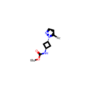 CC(=O)c1ccnn1[C@H]1C[C@H](NC(=O)OC(C)(C)C)C1